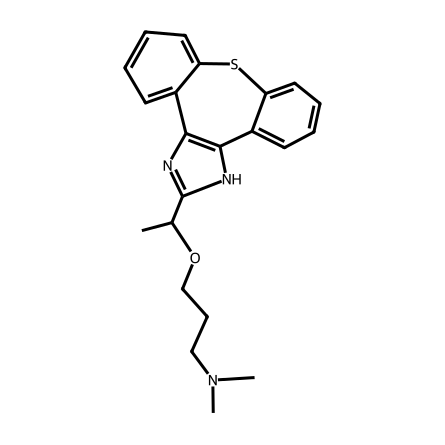 CC(OCCCN(C)C)c1nc2c([nH]1)-c1ccccc1Sc1ccccc1-2